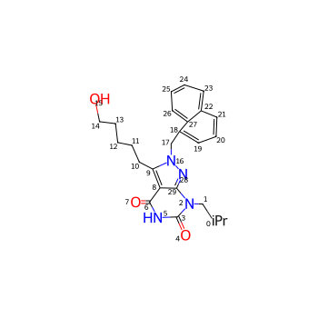 CC(C)Cn1c(=O)[nH]c(=O)c2c(CCCCCO)n(Cc3cccc4ccccc34)nc21